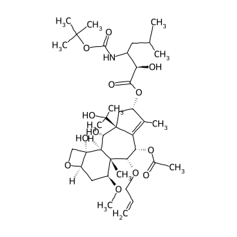 C=CCO[C@H]1[C@@H](OC(C)=O)C2=C(C)[C@@H](OC(=O)[C@H](O)C(CC(C)C)NC(=O)OC(C)(C)C)C[C@@]2(C(C)(C)O)[C@@H](O)[C@@H]2[C@]3(O)CO[C@@H]3C[C@H](OC)[C@]21C